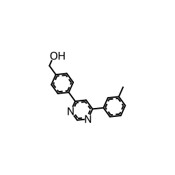 Cc1cccc(-c2cc(-c3ccc(CO)cc3)ncn2)c1